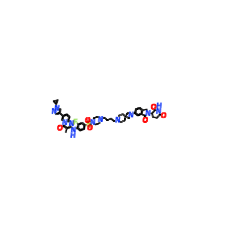 Cc1c(Nc2ccc(S(=O)(=O)N3CCN(CCCCN4CCC5(CC4)CN(c4ccc6c(c4)C(=O)N(C4CCC(=O)NC4=O)C6)C5)CC3)cc2F)nc2ccc(-c3cnn(C4CC4)c3)cn2c1=O